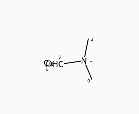 CN(C)C=O.[Cu]